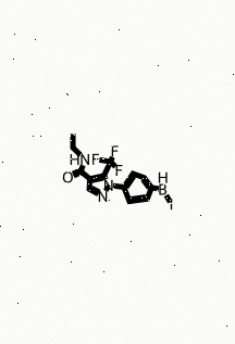 CCNC(=O)c1cnn(-c2ccc(BI)cc2)c1C(F)(F)F